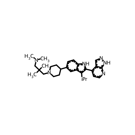 CC(C)c1c(-c2ccnc3[nH]ncc23)[nH]c2ccc(C3CCN(CC(C)(C)CN(C)C)CC3)cc12